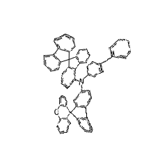 c1ccc(-c2ccc(N(c3ccc4c(c3)C3(c5ccccc5Oc5ccccc53)c3ccccc3-4)c3cccc4c3-c3ccccc3C43c4ccccc4-c4ccccc43)cc2)cc1